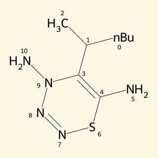 CCCCC(C)C1=C(N)SN=NN1N